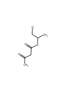 CC(=O)CC(=O)OC(C)CCl